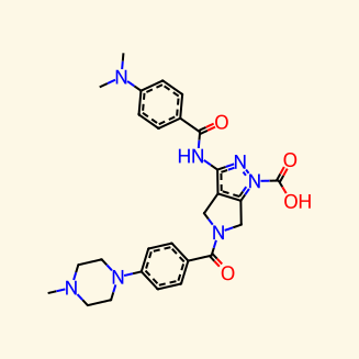 CN1CCN(c2ccc(C(=O)N3Cc4c(NC(=O)c5ccc(N(C)C)cc5)nn(C(=O)O)c4C3)cc2)CC1